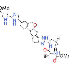 COC[C@@H]1CN[C@H](c2ncc(-c3ccc4c(c3)COc3cc5c(ccc6nc(C7C[C@H]8C[C@H]8N7C(=O)[C@@H](NC(=O)OC)C(C)C)[nH]c65)cc3-4)[nH]2)C1